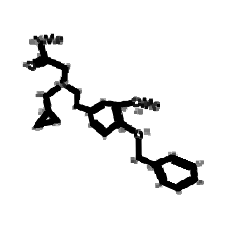 CNC(=O)CN(CCc1ccc(OCc2ccccc2)c(OC)c1)CC1CC1